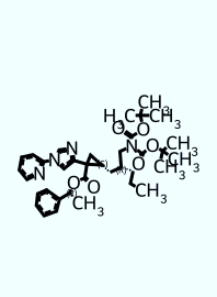 CCC[C@H](C[C@H]1CC1(C(=O)O[C@H](C)c1ccccc1)c1cn(-c2ccccn2)cn1)CN(C(=O)OC(C)(C)C)C(=O)OC(C)(C)C